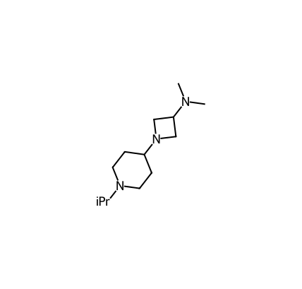 CC(C)N1CCC(N2CC(N(C)C)C2)CC1